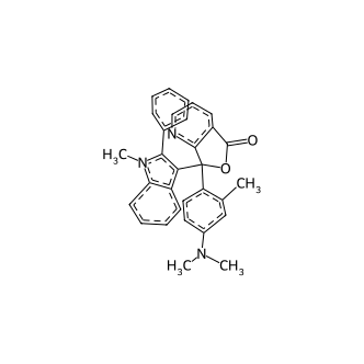 Cc1cc(N(C)C)ccc1C1(c2c(-c3ccccc3)n(C)c3ccccc23)OC(=O)c2cccnc21